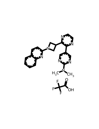 CN(C)c1ncc(-c2nccnc2C2CN(c3ccc4ccccc4n3)C2)cn1.O=C(O)C(F)(F)F